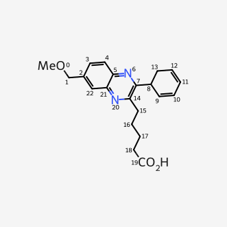 COCc1ccc2nc(C3C=CC=CC3)c(CCCCC(=O)O)nc2c1